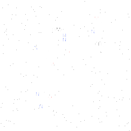 COc1cc2nccc(Oc3ccc(C(=O)Nc4ccccn4)cc3)c2cc1NC(=O)C#CC(C)N1CCOCC1